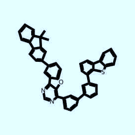 CC1(C)c2ccccc2-c2ccc(-c3ccc4oc5c(-c6cccc(-c7cccc(-c8cccc9c8sc8ccccc89)c7)c6)ncnc5c4c3)cc21